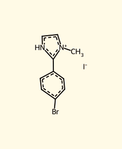 C[n+]1cc[nH]c1-c1ccc(Br)cc1.[I-]